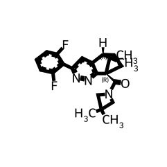 CC1(C)CN(C(=O)[C@@]23CC[C@@H](c4cc(-c5c(F)cccc5F)nnc42)C3(C)C)C1